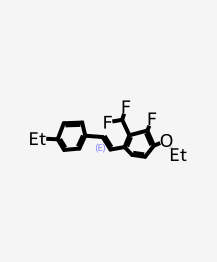 CCOc1ccc(/C=C/c2ccc(CC)cc2)c(C(F)F)c1F